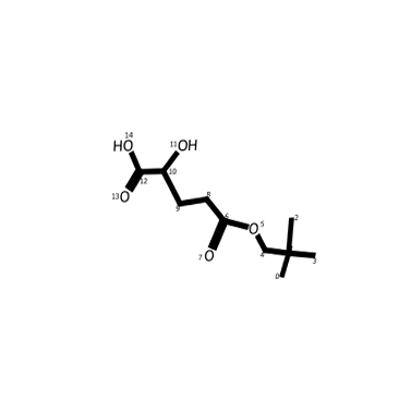 CC(C)(C)COC(=O)CCC(O)C(=O)O